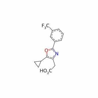 O=C(O)Cc1nc(-c2cccc(C(F)(F)F)c2)oc1C1CC1